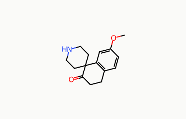 COc1ccc2c(c1)C1(CCNCC1)C(=O)CC2